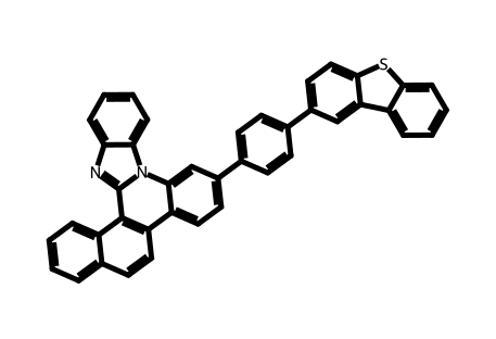 c1ccc2c(c1)ccc1c3ccc(-c4ccc(-c5ccc6sc7ccccc7c6c5)cc4)cc3n3c4ccccc4nc3c21